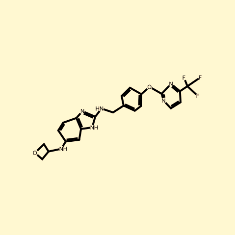 FC(F)(F)c1ccnc(Oc2ccc(CNc3nc4ccc(NC5COC5)cc4[nH]3)cc2)n1